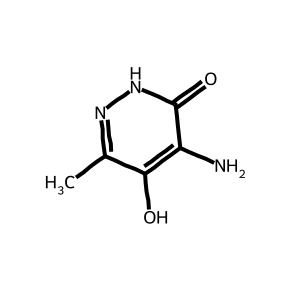 Cc1n[nH]c(=O)c(N)c1O